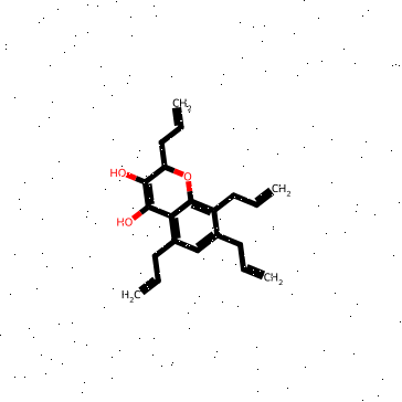 C=CCc1cc(CC=C)c2c(c1CC=C)OC(CC=C)C(O)=C2O